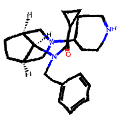 O=C(C1CC1)N(Cc1ccccc1)[C@H]1[C@@H]2CC[C@H]1CN(C1CCNCC1)C2